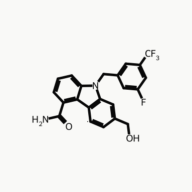 NC(=O)c1cccc2c1c1[c]cc(CO)cc1n2Cc1cc(F)cc(C(F)(F)F)c1